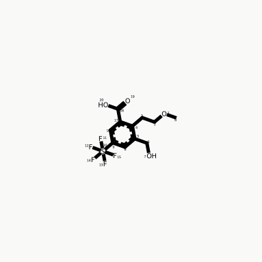 COCCc1c(CO)cc(S(F)(F)(F)(F)F)cc1C(=O)O